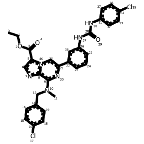 CCOC(=O)c1cnc2c(N(C)Cc3ccc(Cl)cc3)nc(-c3cccc(NC(=O)Nc4ccc(Cl)cc4)c3)cn12